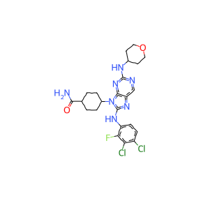 NC(=O)C1CCC(n2c(Nc3ccc(Cl)c(Cl)c3F)nc3cnc(NC4CCOCC4)nc32)CC1